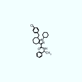 C[C@H](NC(=O)c1nn(C2CCCCC2)c2c1CCCCC2Cc1ccc(Cl)cc1)c1ccccc1